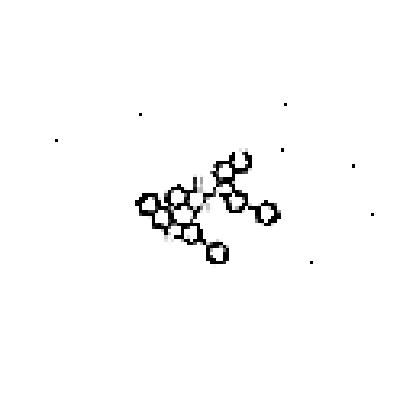 c1ccc(-c2cc(C3NC(n4c5ccc(-c6ccccc6)cc5c5c6ccccc6ccc54)Nc4ccccc43)c3c(c2)oc2cc4ccccc4cc23)cc1